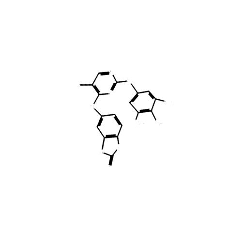 COc1cc(Nc2ncc(Cl)c(Nc3ccc4oc(=O)[nH]c4c3)n2)cc(C)c1C